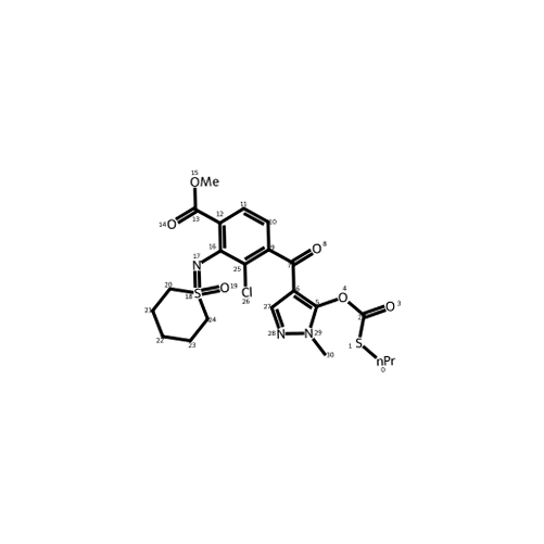 CCCSC(=O)Oc1c(C(=O)c2ccc(C(=O)OC)c(N=S3(=O)CCCCC3)c2Cl)cnn1C